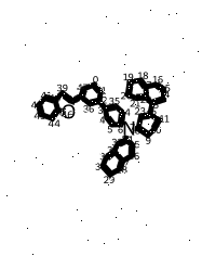 c1cc(-c2ccc(N(c3cccc(-c4cccc5ccccc45)c3)c3ccc4ccccc4c3)cc2)cc(-c2cc3ccccc3o2)c1